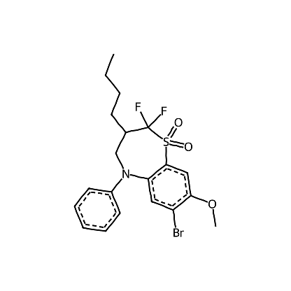 CCCCC1CN(c2ccccc2)c2cc(Br)c(OC)cc2S(=O)(=O)C1(F)F